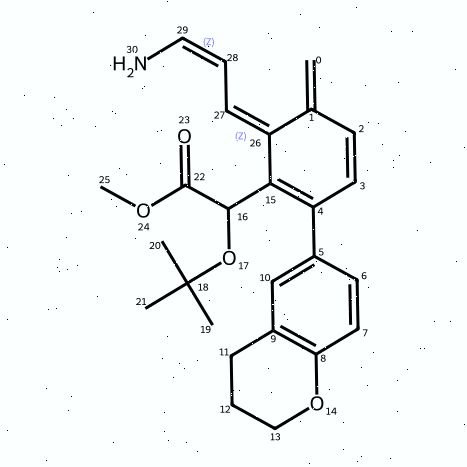 C=c1ccc(-c2ccc3c(c2)CCCO3)c(C(OC(C)(C)C)C(=O)OC)/c1=C/C=C\N